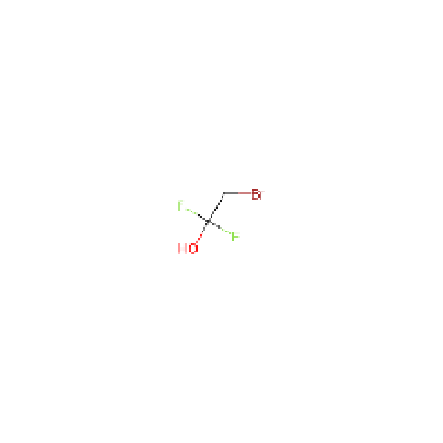 OC(F)(F)CBr